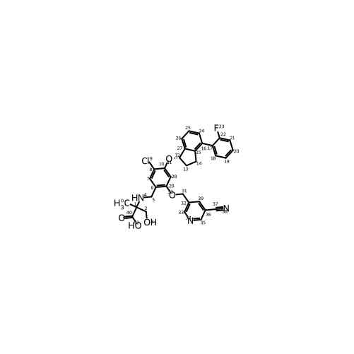 CC(CO)(NCc1cc(Cl)c(O[C@H]2CCc3c(-c4ccccc4F)cccc32)cc1OCc1cncc(C#N)c1)C(=O)O